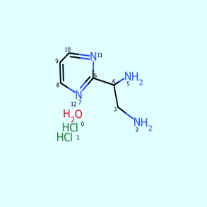 Cl.Cl.NCC(N)c1ncccn1.O